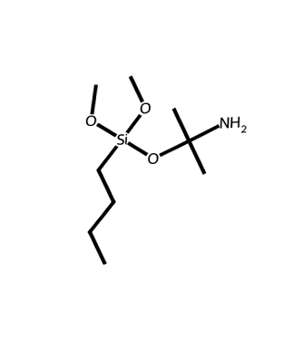 CCCC[Si](OC)(OC)OC(C)(C)N